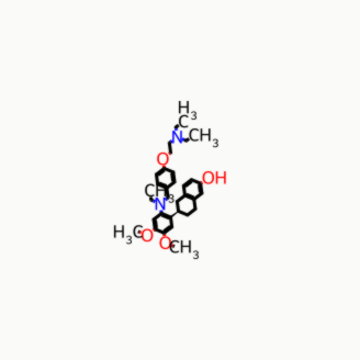 CCN(CC)CCOc1ccc(CN(CC)c2cc(OC)c(OC)cc2[C@@H]2CCc3cc(O)ccc3C2)cc1